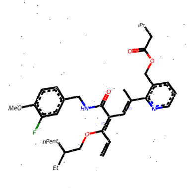 C=C/C(OCC(CC)CCCCC)=C(\C=C(/C)c1ncccc1COC(=O)CC(C)C)C(=O)NCc1ccc(OC)c(F)c1